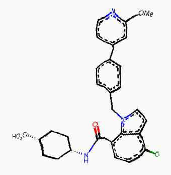 COc1cc(-c2ccc(Cn3ccc4c(Cl)ccc(C(=O)N[C@H]5CC[C@@H](C(=O)O)CC5)c43)cc2)ccn1